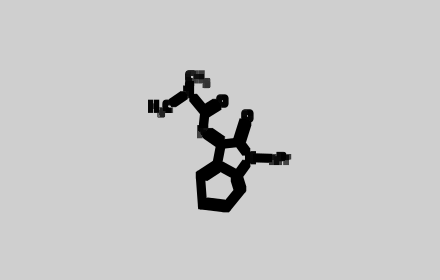 CCCN1C(=O)C(=NC(=O)N(C)C)c2ccccc21